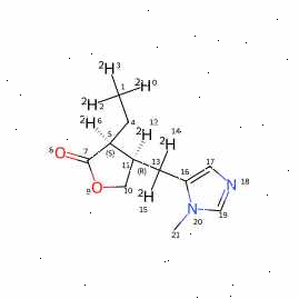 [2H]C([2H])([2H])C[C@]1([2H])C(=O)OC[C@]1([2H])C([2H])([2H])c1cncn1C